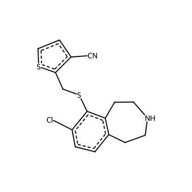 N#Cc1ccsc1CSc1c(Cl)ccc2c1CCNCC2